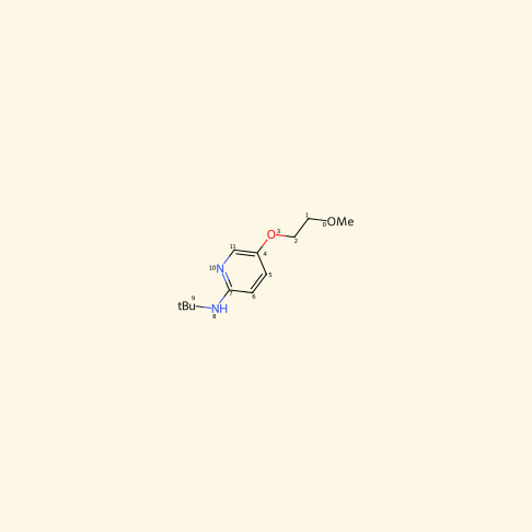 COCCOc1ccc(NC(C)(C)C)nc1